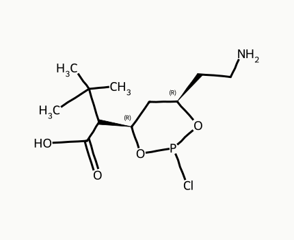 CC(C)(C)C(C(=O)O)[C@H]1C[C@@H](CCN)OP(Cl)O1